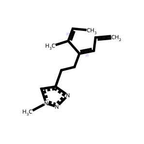 C=C/C=C(CCc1cn(C)nn1)\C(C)=C/C